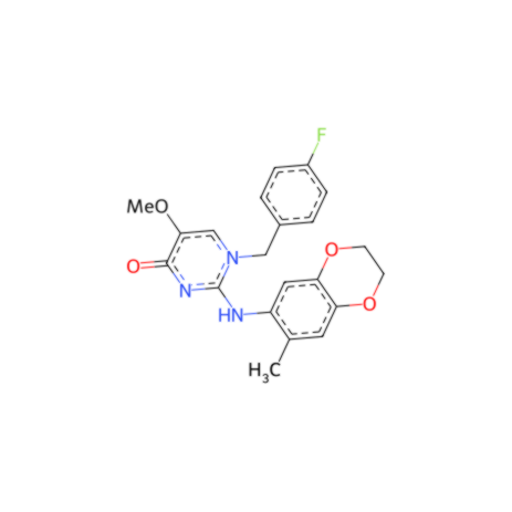 COc1cn(Cc2ccc(F)cc2)c(Nc2cc3c(cc2C)OCCO3)nc1=O